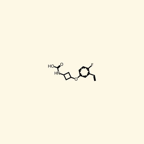 C=Cc1cc(OC2CC(NC(=O)O)C2)ccc1F